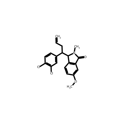 C=CCC(c1ccc(Cl)c(Cl)c1)C1c2ccc(OC)cc2C(=O)N1C